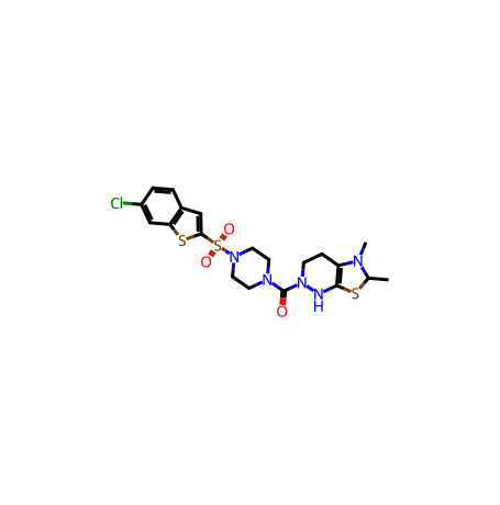 CC1SC2=C(CCN(C(=O)N3CCN(S(=O)(=O)c4cc5ccc(Cl)cc5s4)CC3)N2)N1C